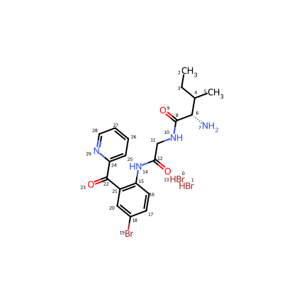 Br.Br.CCC(C)[C@H](N)C(=O)NCC(=O)Nc1ccc(Br)cc1C(=O)c1ccccn1